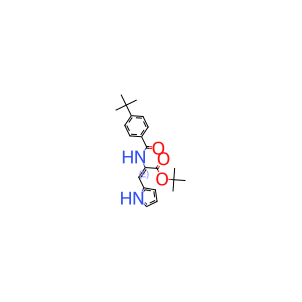 CC(C)(C)OC(=O)/C(=C\c1ccc[nH]1)NC(=O)c1ccc(C(C)(C)C)cc1